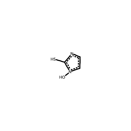 On1ccnc1S